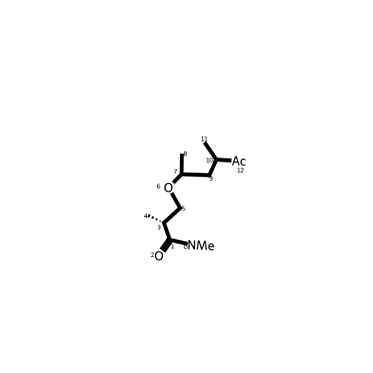 CNC(=O)[C@H](C)COC(C)CC(C)C(C)=O